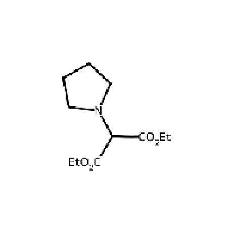 CCOC(=O)C(C(=O)OCC)N1CCCC1